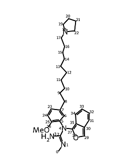 CN=C(N)N(c1cc(CCCCCCCCCCN2CCCC2)ccc1OC)c1occ2ccccc12